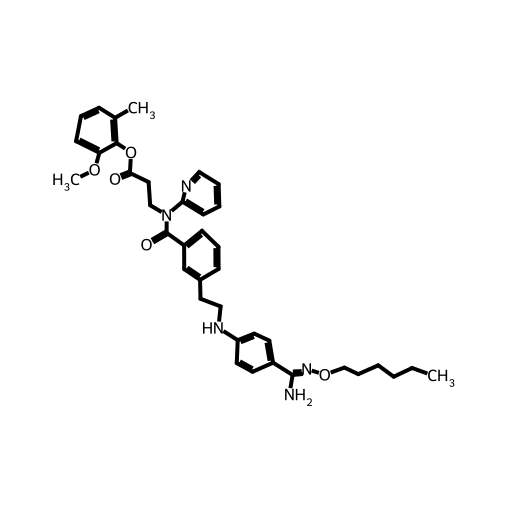 CCCCCCON=C(N)c1ccc(NCCc2cccc(C(=O)N(CCC(=O)Oc3c(C)cccc3OC)c3ccccn3)c2)cc1